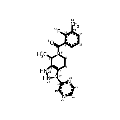 CC1C2=C(CCN1C(=O)c1cccc(C(F)(F)F)c1F)N(c1cnccn1)NN2